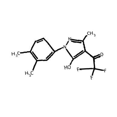 Cc1ccc(-n2nc(C)c(C(=O)C(F)(F)F)c2O)cc1C